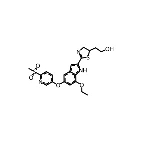 CCOc1cc(Oc2ccc(S(C)(=O)=O)nc2)cc2cc(C3=NCC(CCO)S3)[nH]c12